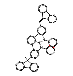 CC1(c2ccc3c(c2)-c2cccc4c2B(N(c2ccccc2)c2ccc(C=C5c6ccccc6-c6ccccc65)cc2-4)N3c2ccccc2)c2ccccc2-c2ccccc21